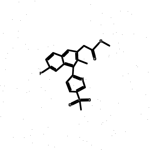 COC(=O)Cc1cc2ccc(F)cc2c(-c2ccc(S(C)(=O)=O)cn2)c1C